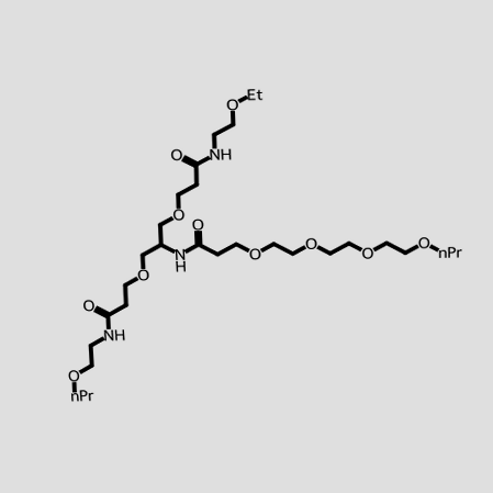 CCCOCCNC(=O)CCOCC(COCCC(=O)NCCOCC)NC(=O)CCOCCOCCOCCOCCC